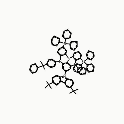 CC(C)(C)c1ccc2c(c1)c1cc(C(C)(C)C)ccc1n2-c1cc2c3c(c1)N(c1ccccc1)c1c(cccc1[Si](c1ccccc1)(c1ccccc1)c1ccccc1)B3c1cc([Si](c3ccccc3)(c3ccccc3)c3ccccc3)ccc1N2c1ccc(C(C)(C)c2ccccc2)cc1